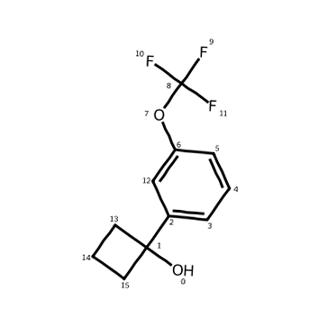 OC1(c2cccc(OC(F)(F)F)c2)CCC1